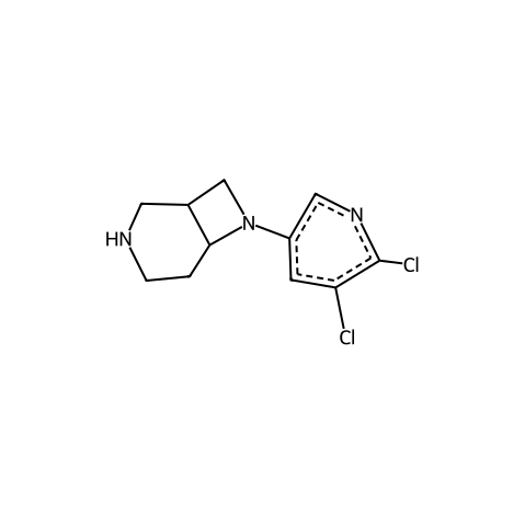 Clc1cc(N2CC3CNCCC32)cnc1Cl